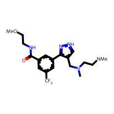 CNCCN(C)Cc1c[nH]nc1-c1cc(C(=O)NCCOC)cc(C(F)(F)F)c1